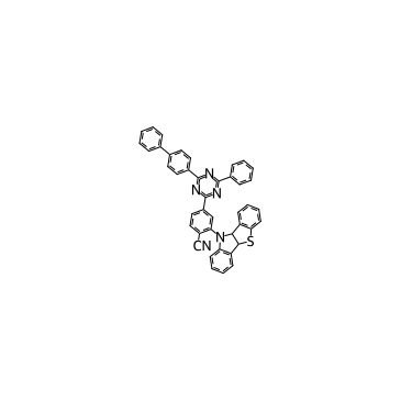 N#Cc1ccc(-c2nc(-c3ccccc3)nc(-c3ccc(-c4ccccc4)cc3)n2)cc1N1c2ccccc2C2Sc3ccccc3C21